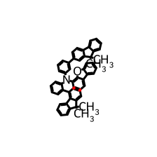 CC1(C)c2ccccc2-c2ccc(-c3cccc(N(c4ccccc4-c4cccc5c4-c4ccccc4C5(C)C)c4cccc5c4oc4ccccc45)c3)cc21